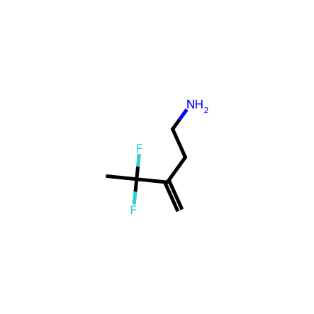 C=C(CCN)C(C)(F)F